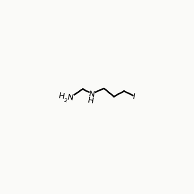 NCNCCCI